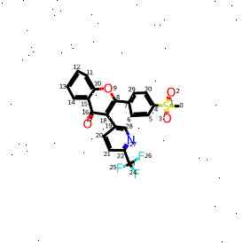 CS(=O)(=O)c1ccc(-c2oc3ccccc3c(=O)c2-c2ccc(C(F)(F)F)nc2)cc1